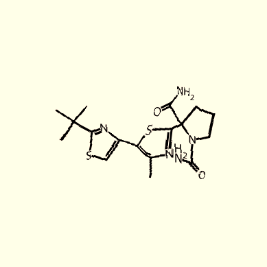 Cc1nc(C2(C(N)=O)CCCN2C(N)=O)sc1-c1csc(C(C)(C)C)n1